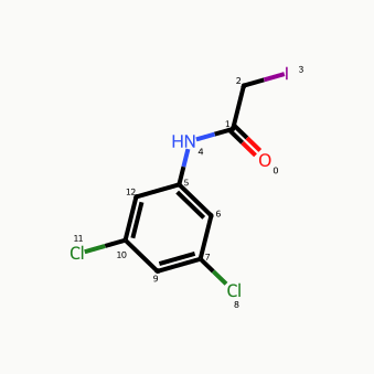 O=C(CI)Nc1cc(Cl)cc(Cl)c1